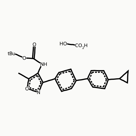 Cc1onc(-c2ccc(-c3ccc(C4CC4)cc3)cc2)c1NC(=O)OC(C)(C)C.O=C(O)O